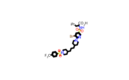 CC(C)CC(NS(=O)(=O)c1cnc(N2CCC(CCCC3CCN(S(=O)(=O)c4ccc(C(F)(F)F)cc4)CC3)CC2)c(Br)c1)C(=O)O